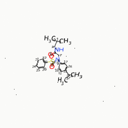 CC(C)CNC(=O)CN(c1ccc(C(C)C)cc1)S(=O)(=O)c1ccccc1